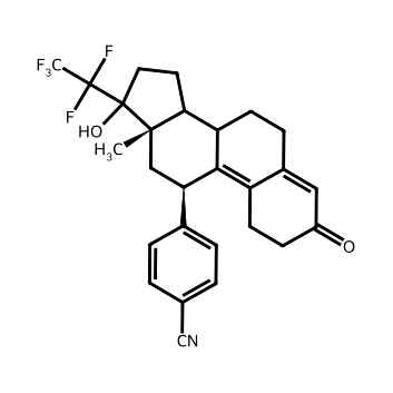 C[C@]12C[C@H](c3ccc(C#N)cc3)C3=C4CCC(=O)C=C4CCC3C1CCC2(O)C(F)(F)C(F)(F)F